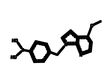 COc1ccnc2c1ccn2Cc1ccc(B(O)O)cc1